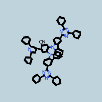 N#Cc1cc(-n2c3ccccc3c3cc(-c4nc(-c5ccccc5)nc(-c5ccccc5)n4)ccc32)c(-n2c3ccccc3c3cc(-c4nc(-c5ccccc5)nc(-c5ccccc5)n4)ccc32)cc1-c1cc(-c2ccccc2)nc(-c2ccccc2)c1